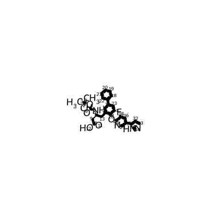 CC(C)(C)OC(=O)N[C@H](CC(=O)O)Cc1cc(-c2ccccc2)ccc1Oc1ncc(-c2ccn[nH]2)cc1F